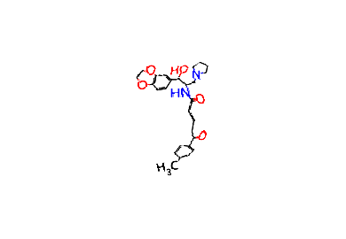 Cc1ccc(C(=O)CCCC(=O)N[C@H](CN2CCCC2)[C@H](O)c2ccc3c(c2)OCCO3)cc1